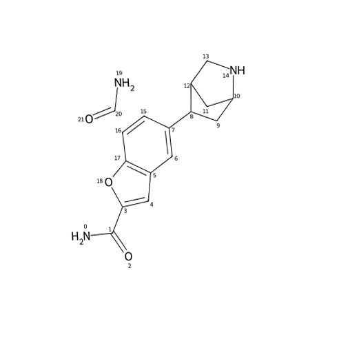 NC(=O)c1cc2cc(C3CC4CC3CN4)ccc2o1.NC=O